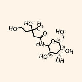 CC(O)(CCO)CC(=O)NC1O[C@H](CO)[C@H](O)[C@H](O)[C@H]1O